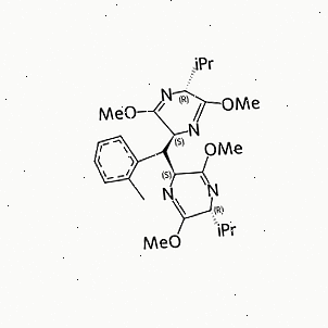 COC1=N[C@H](C(C)C)C(OC)=N[C@H]1C(c1ccccc1C)[C@@H]1N=C(OC)[C@@H](C(C)C)N=C1OC